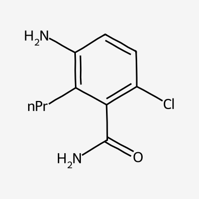 CCCc1c(N)ccc(Cl)c1C(N)=O